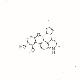 COc1c(O)ccc2c1-c1ccc3c(c1C(C1CC=CC1)O2)C(C)=CC(C)N3